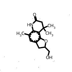 Cc1cc2c(c3c1NC(=O)CC3(C)C)OC(CO)C2